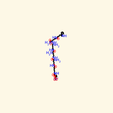 NC(=O)C(CCCCNC(=O)CCCc1c[nH]c2ccccc12)NC(=O)C(N)CCCCNC(=O)C(N)CCCCNC(=O)C(N)CCCCNC(=O)CCCCCNC(=O)c1ccc([N+](=O)[O-])o1